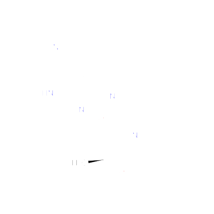 C[C@H](O)C(=O)N1CCCC12CCCN(C1=NCNc3[nH]ccc31)C2